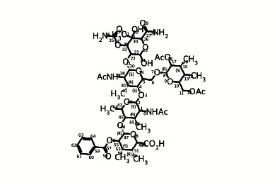 CC(=O)NC1[C@H](O[C@@H]2C(CO[C@@H]3OC(COC(C)=O)C(C)[C@H](C)C3OC(C)=O)O[C@@H](OC3C(O)OC(C(N)=O)[C@@](C)(O)[C@@H]3OC(N)=O)C(NC(C)=O)[C@H]2C)OC(C)C(O[C@@H]2OC(C(=O)O)[C@H](C)[C@H](C)C2OC(=O)c2ccccc2)[C@@H]1C